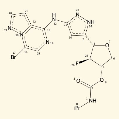 CC(C)NC(=O)O[C@H]1CO[C@@H](c2cc(Nc3ncc(Br)n4nccc34)n[nH]2)[C@@H]1F